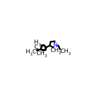 CCCN1CCC(c2ccc(C(C)(C)C)cc2)C1C